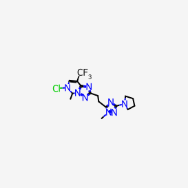 CC1N(Cl)C=C(C(F)(F)F)c2nc(CCc3nc(N4CCCC4)nn3C)nn21